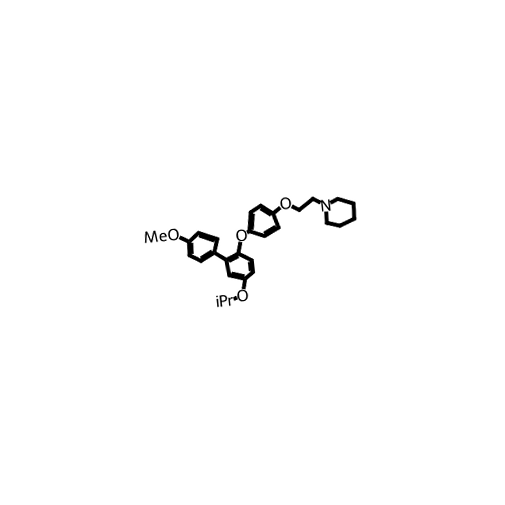 COc1ccc(-c2cc(OC(C)C)ccc2Oc2ccc(OCCN3CCCCC3)cc2)cc1